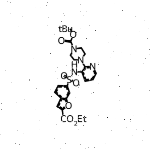 CCOC(=O)c1cc2ccc(S(=O)(=O)Nc3cccnc3N3CCN(C(=O)OC(C)(C)C)CC3)cc2o1